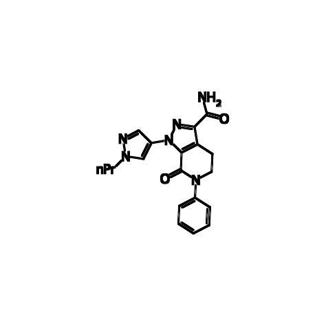 CCCn1cc(-n2nc(C(N)=O)c3c2C(=O)N(c2ccccc2)CC3)cn1